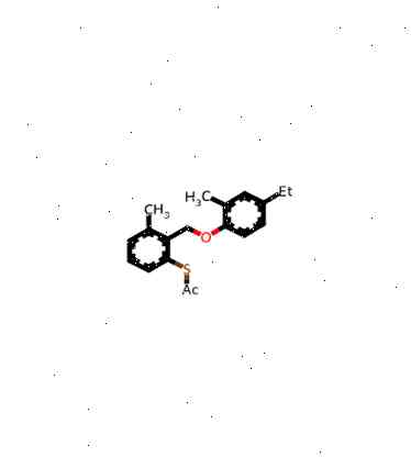 CCc1ccc(OCc2c(C)cccc2SC(C)=O)c(C)c1